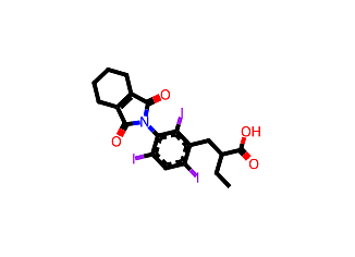 CCC(Cc1c(I)cc(I)c(N2C(=O)C3=C(CCCC3)C2=O)c1I)C(=O)O